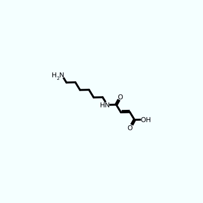 NCCCCCCNC(=O)C=CC(=O)O